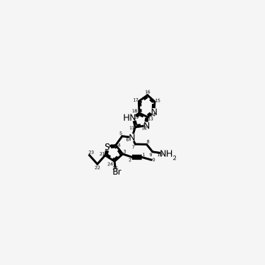 CC#Cc1c(CN(CCCN)c2nc3ncccc3[nH]2)sc(CC)c1Br